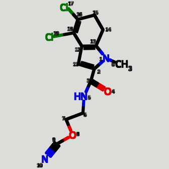 Cn1c(C(=O)NCCOC#N)cc2c1CCC(Cl)=C2Cl